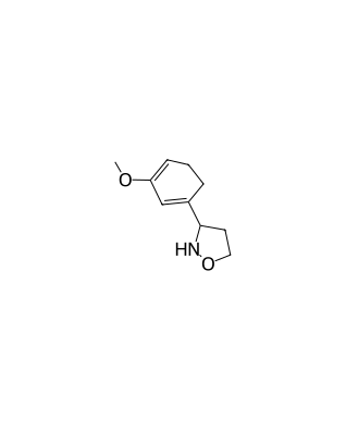 COC1=CCCC(C2CCON2)=C1